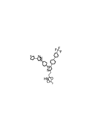 CNC(=O)CCc1cc(-c2ccc(-c3ccc(C(F)(F)F)cc3)cc2)n(-c2ccc(-n3cc(-c4ccsc4)nn3)cc2)n1